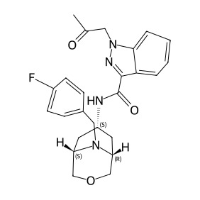 CC(=O)Cn1nc(C(=O)N[C@H]2C[C@H]3COC[C@@H](C2)N3Cc2ccc(F)cc2)c2ccccc21